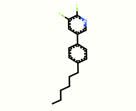 CCCCCCc1ccc(-c2cnc(F)c(F)c2)cc1